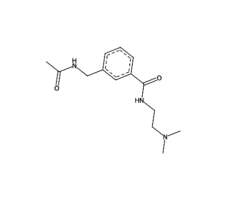 CC(=O)NCc1cccc(C(=O)NCCN(C)C)c1